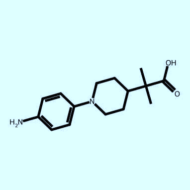 CC(C)(C(=O)O)C1CCN(c2ccc(N)cc2)CC1